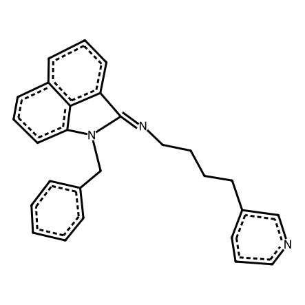 c1ccc(CN2C(=NCCCCc3cccnc3)c3cccc4cccc2c34)cc1